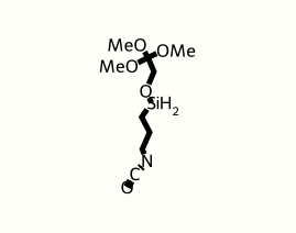 COC(CO[SiH2]CCCN=C=O)(OC)OC